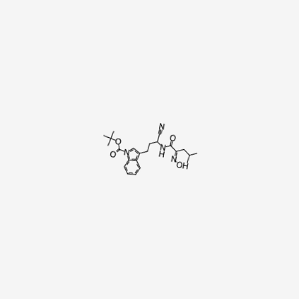 CC(C)CC(=NO)C(=O)NC(C#N)CCc1cn(C(=O)OC(C)(C)C)c2ccccc12